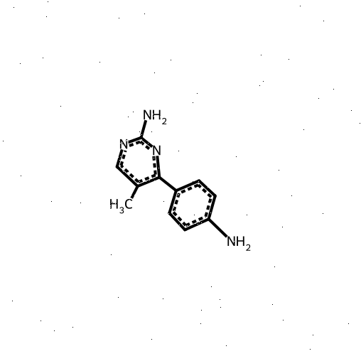 Cc1cnc(N)nc1-c1ccc(N)cc1